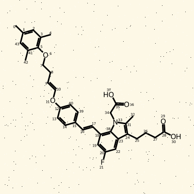 Cc1cc(C)c(OCCC=COc2ccc(C=Cc3cc(F)cc4c(CCCC(=O)O)c(C)n(CC(=O)O)c34)cc2)c(C)c1